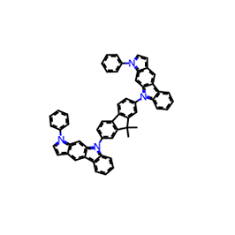 CC1(C)c2cc(-n3c4ccccc4c4cc5ccn(-c6ccccc6)c5cc43)ccc2-c2ccc(-n3c4ccccc4c4cc5ccn(-c6ccccc6)c5cc43)cc21